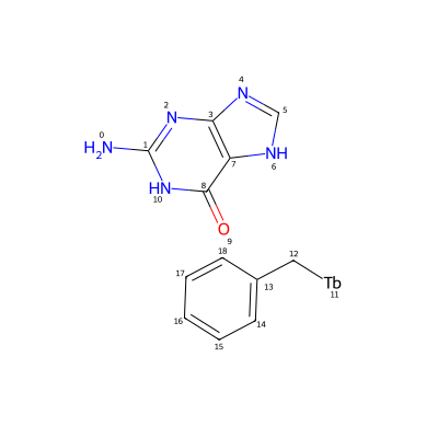 Nc1nc2nc[nH]c2c(=O)[nH]1.[Tb][CH2]c1ccccc1